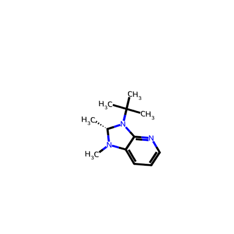 C[C@H]1N(C)c2cccnc2N1C(C)(C)C